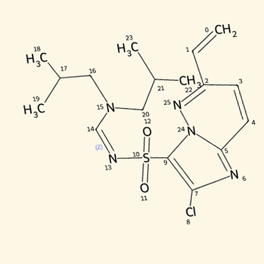 C=Cc1ccc2nc(Cl)c(S(=O)(=O)/N=C\N(CC(C)C)CC(C)C)n2n1